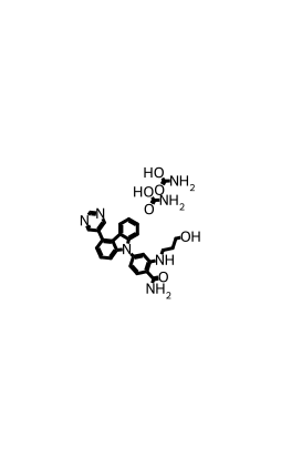 NC(=O)O.NC(=O)O.NC(=O)c1ccc(-n2c3ccccc3c3c(-c4cncnc4)cccc32)cc1NCCCO